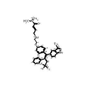 CN(C)C(=O)/C=C/CNCCOc1ccc(/C(=C(/CC(F)(F)F)c2ccccc2)c2ccc3[nH]nc(F)c3c2)cc1